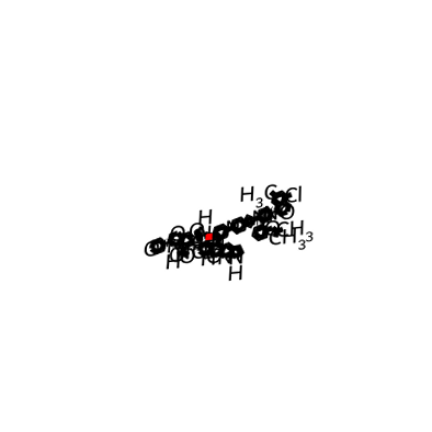 Cc1cc(Cl)c2c(c1)[C@H](N1CCN(C3CC4(CCN(c5ccc(C(=O)NS(=O)(=O)c6cc7c(c([N+](=O)[O-])c6)N[C@H](C6CCOCC6)CO7)c(N6c7cc8cc[nH]c8nc7O[C@H]7COCC[C@@H]76)c5)CC4)C3)[C@H](c3ccccc3OC(C)C)C1)COC2